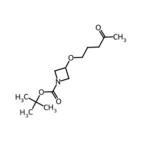 CC(=O)CCCOC1CN(C(=O)OC(C)(C)C)C1